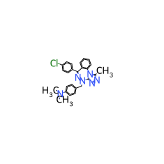 Cc1nnc2n1-c1ccccc1C(c1ccc(Cl)cc1)=NN2Cc1ccc(N(C)C)cc1